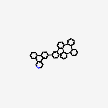 c1cc(-c2ccc3c4ccccc4c4cnccc4c3c2)cc(-c2cccc3c2-c2ccccc2-c2ccccc2-c2ccccc2-3)c1